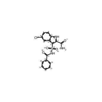 NC(=O)c1[nH]c2ccc(Cl)cc2c1S(=O)(=O)NC(=O)c1ccccc1